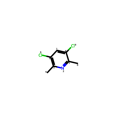 Cc1nc(C)c(Cl)cc1Cl